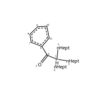 CCCCCCC[PH](CCCCCCC)(CCCCCCC)C(=O)c1ccccc1